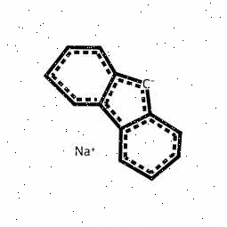 [Na+].c1ccc2c(c1)[cH-]c1ccccc12